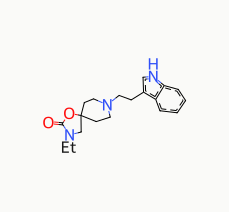 CCN1CC2(CCN(CCc3c[nH]c4ccccc34)CC2)OC1=O